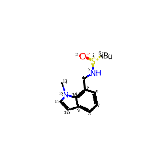 CCC(C)[S+]([O-])NCc1cccc2ccn(C)c12